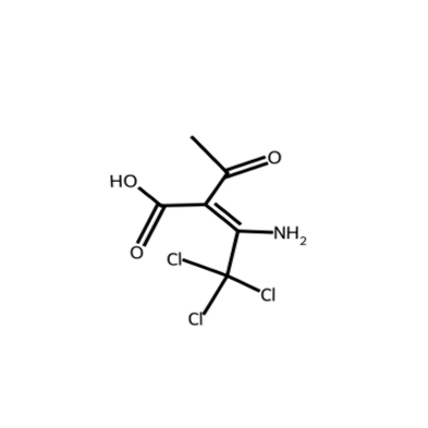 CC(=O)/C(C(=O)O)=C(\N)C(Cl)(Cl)Cl